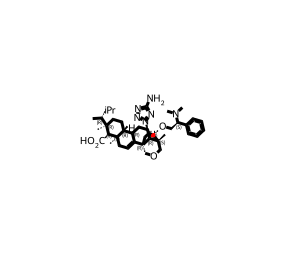 CC(C)[C@@H](C)[C@@]1(C)CC[C@]2(C)[C@H]3CC[C@@H]4[C@@]5(COC[C@@]4(C)[C@@H](OC[C@H](c4ccccc4)N(C)C)[C@H](n4nnc(N)n4)C5)C3=CC[C@@]2(C)[C@@H]1C(=O)O